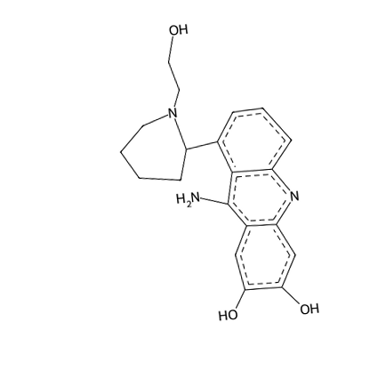 Nc1c2cc(O)c(O)cc2nc2cccc(C3CCCCN3CCO)c12